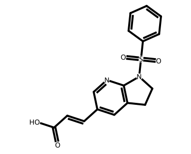 O=C(O)/C=C/c1cnc2c(c1)CCN2S(=O)(=O)c1ccccc1